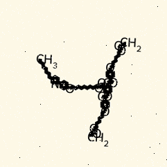 C=CC(=O)OCCCCCCOc1ccc(C(=O)Oc2ccc(OC(=O)c3ccc(OCCCCCCOC(=O)C=C)cc3)c(C(=O)OCCCCCCCCCOc3ccc(-c4ccc(CCCCCCCC)cn4)cc3)c2)cc1